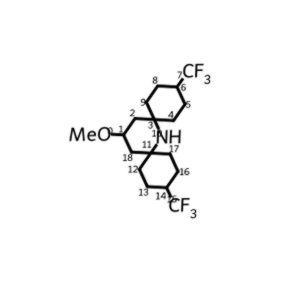 COC1CC2(CCC(C(F)(F)F)CC2)NC2(CCC(C(F)(F)F)CC2)C1